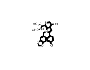 O=CN[C@H](C(=O)O)c1ncc(O)c2cc(-c3ccc(Cl)cc3)n(Cc3ccc4c(c3)OCO4)c12